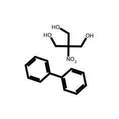 O=[N+]([O-])C(CO)(CO)CO.c1ccc(-c2ccccc2)cc1